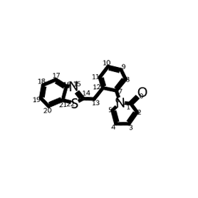 O=c1ccccn1-c1ccccc1Cc1nc2ccccc2s1